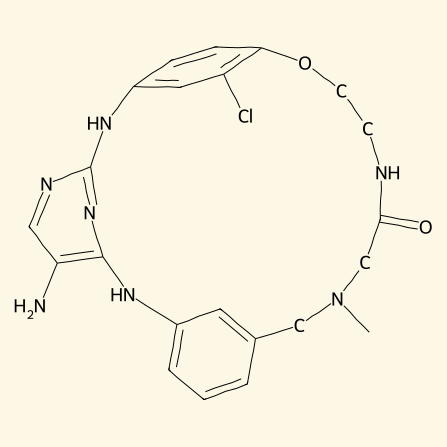 CN1CC(=O)NCCOc2ccc(cc2Cl)Nc2ncc(N)c(n2)Nc2cccc(c2)C1